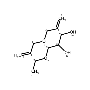 C=CCOCC=C.CCOCC(O)CO